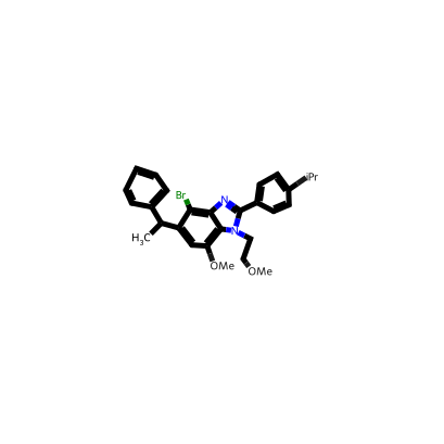 COCCn1c(-c2ccc(C(C)C)cc2)nc2c(Br)c(C(C)c3ccccc3)cc(OC)c21